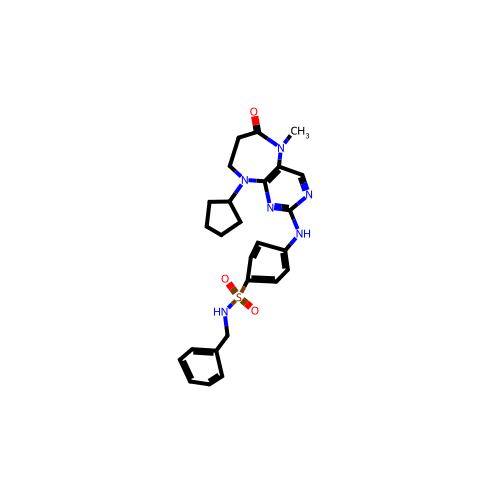 CN1C(=O)CCN(C2CCCC2)c2nc(Nc3ccc(S(=O)(=O)NCc4ccccc4)cc3)ncc21